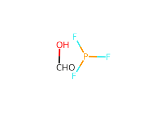 FP(F)F.O=CO